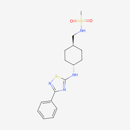 CS(=O)(=O)NC[C@H]1CC[C@H](Nc2nc(-c3ccccc3)ns2)CC1